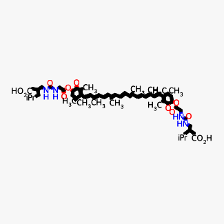 CC1=C(/C=C/C(C)=C/C=C/C(C)=C/C=C/C=C(C)/C=C/C=C(C)/C=C/C2=C(C)C(=O)C(OC(=O)CNC(=O)NCC(CC(=O)O)CC(C)C)CC2(C)C)C(C)(C)CC(OC(=O)CNC(=O)NCC(CC(=O)O)CC(C)C)C1=O